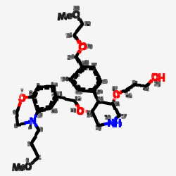 COCCCN1CCOc2ccc(CO[C@H]3CNC[C@@H](OCCCO)[C@@H]3c3ccc(COCCOC)cc3)cc21